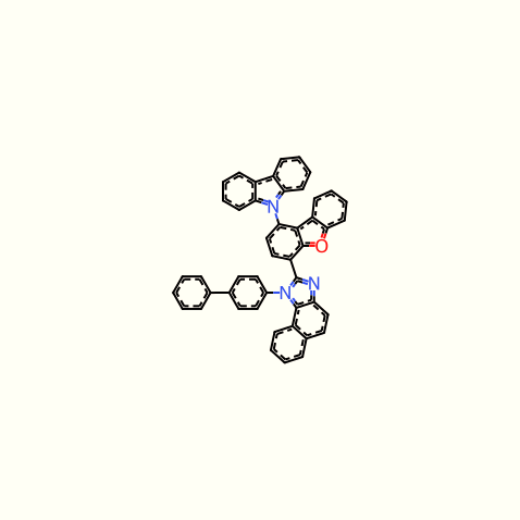 c1ccc(-c2ccc(-n3c(-c4ccc(-n5c6ccccc6c6ccccc65)c5c4oc4ccccc45)nc4ccc5ccccc5c43)cc2)cc1